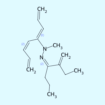 C=C/C=C\C(=C/C=C)N(C)/N=C(/CCC)C(=C)CC